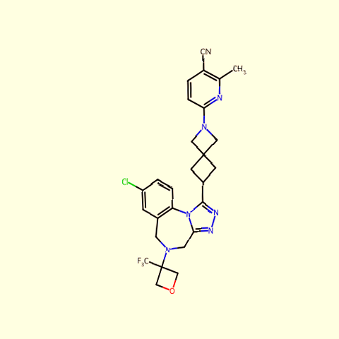 Cc1nc(N2CC3(CC(c4nnc5n4-c4ccc(Cl)cc4CN(C4(C(F)(F)F)COC4)C5)C3)C2)ccc1C#N